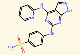 NS(=O)(=O)c1ccc(Nc2nc(Nc3ccccn3)c3cn[nH]c3n2)cc1